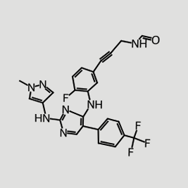 Cn1cc(Nc2ncc(-c3ccc(C(F)(F)F)cc3)c(Nc3cc(C#CCNC=O)ccc3F)n2)cn1